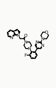 O=C(Cn1ccc2cccnc21)N1CCN(c2c(F)cccc2-c2cnc(N3CCOCC3)nc2)CC1